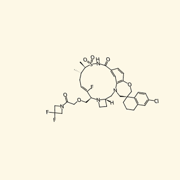 C[C@@H]1[C@@H](C)C/C=C(\F)[C@H](COCC(=O)N2CC(F)(F)C2)N2CC[C@H]2CN2C[C@@]3(CCCc4cc(Cl)ccc43)COc3ccc(cc32)C(=O)NS1(=O)=O